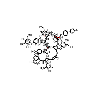 CC(C)C[C@H](C(=O)N[C@H]1C(=O)N[C@@H](CC(N)=O)C(=O)N[C@H]2C(=O)N[C@H]3C(=O)N[C@H](C(=O)N[C@H](C(=O)O)c4cc(O)cc(O)c4-c4cc3ccc4O)[C@H](O[C@H]3C[C@](C)(N)[C@@H](O)[C@H](C)O3)c3ccc(c(Cl)c3)Oc3cc2cc(c3O[C@@H]2O[C@H](CO)[C@@H](O)[C@H](O)[C@H]2O[C@H]2C[C@](C)(NCc3ccc(-c4ccc(Cl)cc4)cc3)[C@@H](O)[C@H](C)O2)Oc2ccc(cc2Cl)[C@H]1O)N(C)C(=O)OCc1ccc(O[C@@H]2O[C@H](CO)[C@@H](O)[C@H](O)[C@H]2O)cc1